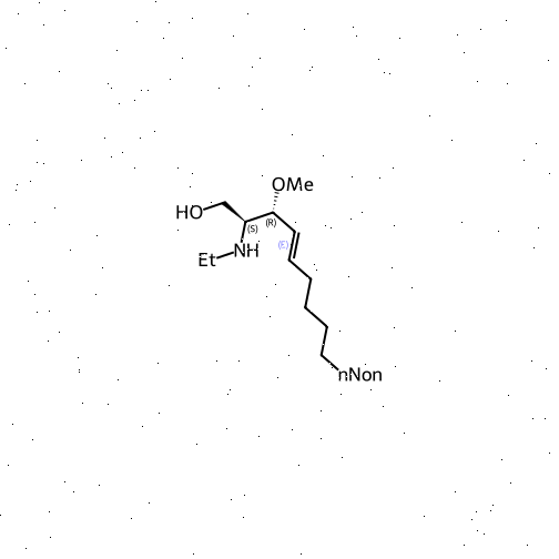 CCCCCCCCCCCCC/C=C/[C@@H](OC)[C@H](CO)NCC